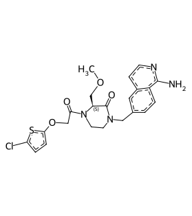 COC[C@H]1C(=O)N(Cc2ccc3c(N)nccc3c2)CCN1C(=O)COc1ccc(Cl)s1